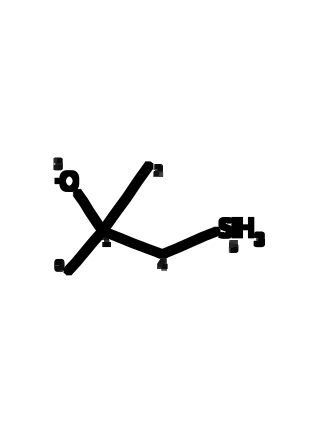 CC(C)([O])C[SiH3]